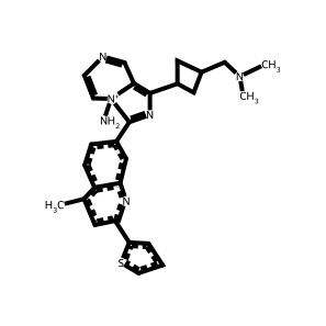 Cc1cc(-c2cccs2)nc2cc(C3=NC(C4CC(CN(C)C)C4)=C4C=NC=C[N+]34N)ccc12